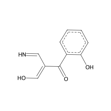 N=C/C(=C\O)C(=O)c1ccccc1O